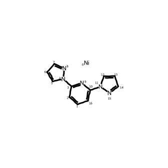 [Ni].c1cc(-n2cccn2)nc(-n2cccn2)c1